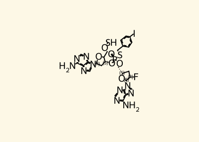 Nc1ncnc2c1ncn2[C@@H]1O[C@H](COP(=O)(O[C@H]2C[C@H](n3cnc4c(N)ncnc43)OC2COS)SCc2ccc(I)cc2)C[C@H]1F